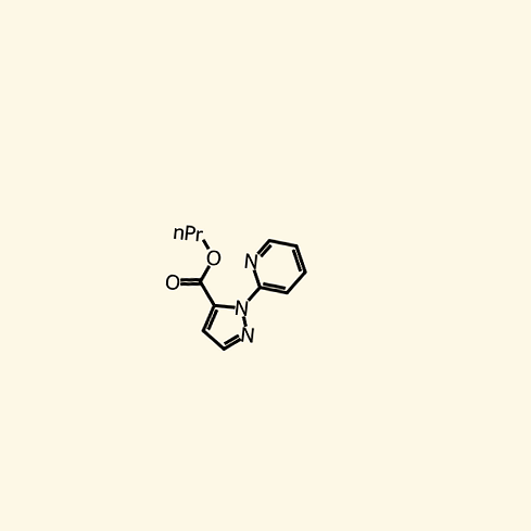 CCCOC(=O)c1ccnn1-c1ccccn1